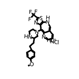 COc1ccc(CCC2CN(C3=c4ncccc4=CNc4sc(C(F)(F)F)nc43)CCN2)cc1.Cl.Cl